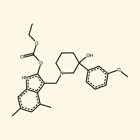 CCOC(=O)Oc1[nH]c2cc(C)cc(C)c2c1CN1CCCC(O)(c2cccc(OC)c2)C1